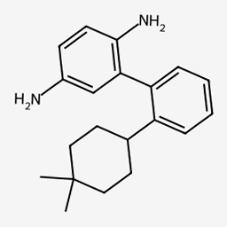 CC1(C)CCC(c2ccccc2-c2cc(N)ccc2N)CC1